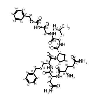 CC(C)C[C@H](NC(=O)[C@@H]1CCCN1C(=O)[C@H](CSCc1ccccc1)NC(=O)[C@H](CC(N)=O)NC(=O)[C@@H](N)CCC(N)=O)C(=O)NCC(=O)NC(=O)OCc1ccccc1